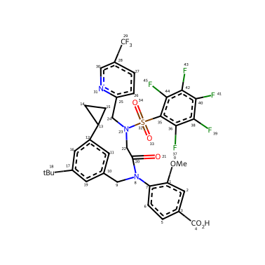 COc1cc(C(=O)O)ccc1N(Cc1cc(C2CC2)cc(C(C)(C)C)c1)C(=O)CN(Cc1ccc(C(F)(F)F)cn1)S(=O)(=O)c1c(F)c(F)c(F)c(F)c1F